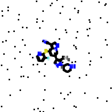 Cc1c(-c2cc(Sc3ncccc3F)c3c(C#N)cnn3c2)cnn1[C@H]1CCCNC1